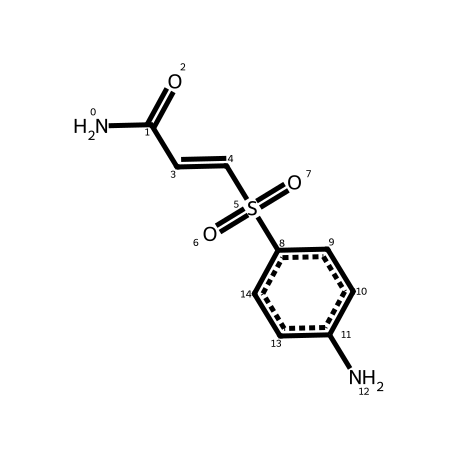 NC(=O)C=CS(=O)(=O)c1ccc(N)cc1